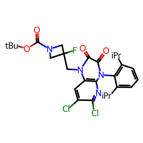 CC(C)c1cccc(C(C)C)c1-n1c(=O)c(=O)n(CC2(F)CN(C(=O)OC(C)(C)C)C2)c2cc(Cl)c(Cl)nc21